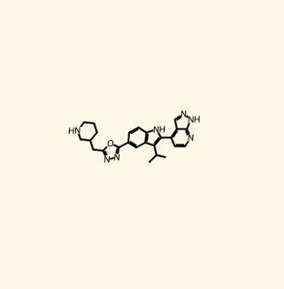 CC(C)c1c(-c2ccnc3[nH]ncc23)[nH]c2ccc(-c3nnc(CC4CCCNC4)o3)cc12